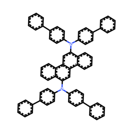 c1ccc(-c2ccc(N(c3ccc(-c4ccccc4)cc3)c3cc4c5ccccc5c(N(c5ccc(-c6ccccc6)cc5)c5ccc(-c6ccccc6)cc5)cc4c4ccccc34)cc2)cc1